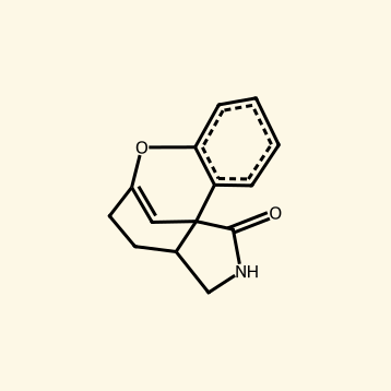 O=C1NCC2CCC3=CC12c1ccccc1O3